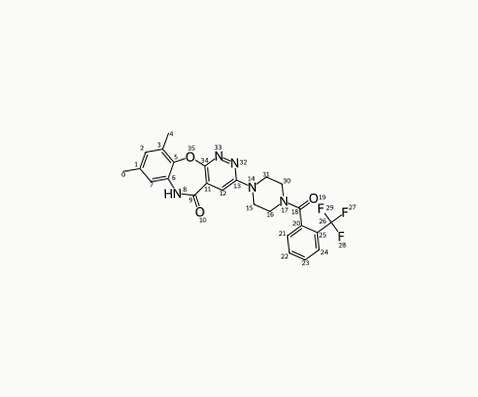 Cc1cc(C)c2c(c1)NC(=O)c1cc(N3CCN(C(=O)c4ccccc4C(F)(F)F)CC3)nnc1O2